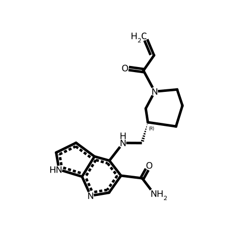 C=CC(=O)N1CCC[C@H](CNc2c(C(N)=O)cnc3[nH]ccc23)C1